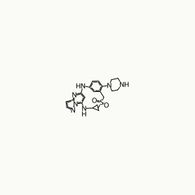 CS(=O)(=O)Cc1cc(Nc2cc(NC3CC3)n3nccc3n2)ccc1N1CCNCC1